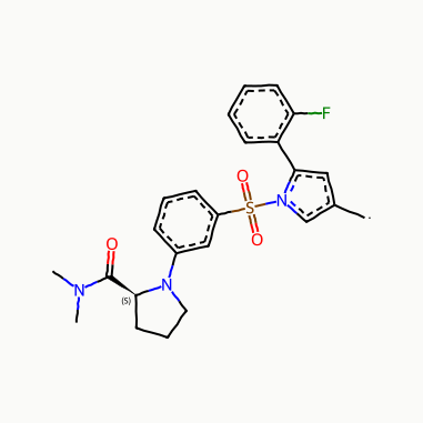 [CH2]c1cc(-c2ccccc2F)n(S(=O)(=O)c2cccc(N3CCC[C@H]3C(=O)N(C)C)c2)c1